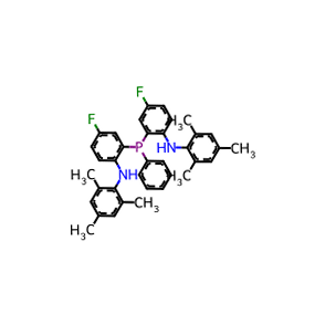 Cc1cc(C)c(Nc2ccc(F)cc2P(c2ccccc2)c2cc(F)ccc2Nc2c(C)cc(C)cc2C)c(C)c1